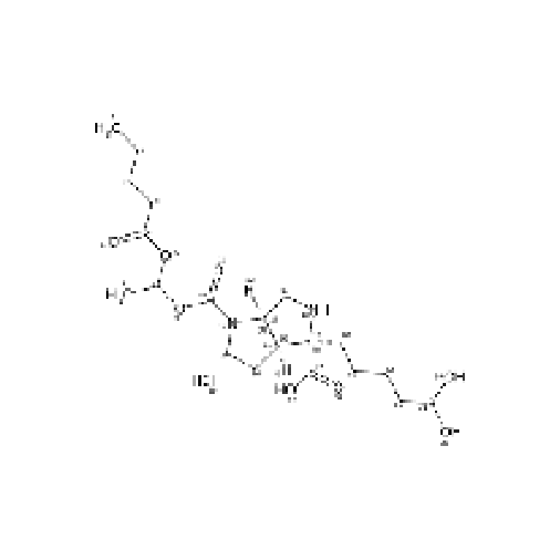 CCCCC(=O)OC(C)OC(=O)N1CC[C@H]2[C@@H]1CN[C@@]2(CCCCB(O)O)C(=O)O.Cl